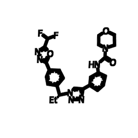 CC[C@H](c1ccc(-c2nnc(C(F)F)o2)cc1)n1cc(-c2cccc(NC(=O)N3CCOCC3)c2)nn1